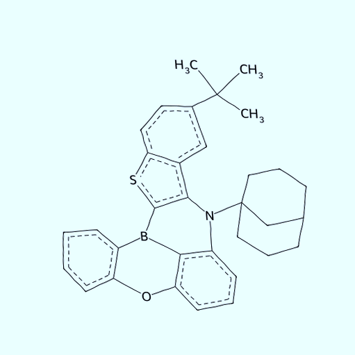 CC(C)(C)c1ccc2sc3c(c2c1)N(C12CCCC(CCC1)C2)c1cccc2c1B3c1ccccc1O2